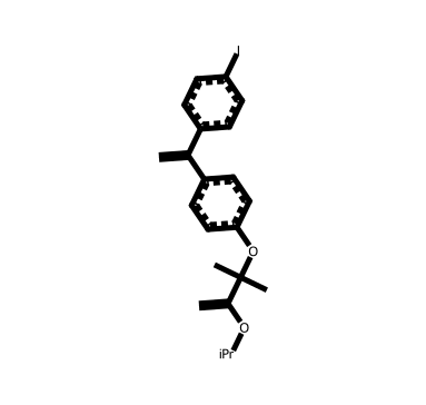 C=C(c1ccc(I)cc1)c1ccc(OC(C)(C)C(=C)OC(C)C)cc1